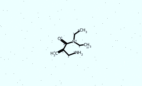 C=C(CN)C(=O)N(CC)CC